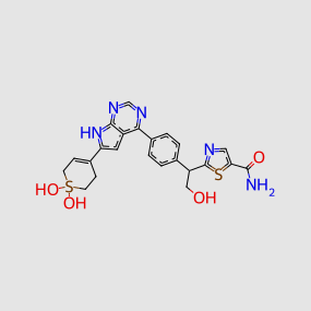 NC(=O)c1cnc(C(CO)c2ccc(-c3ncnc4[nH]c(C5=CCS(O)(O)CC5)cc34)cc2)s1